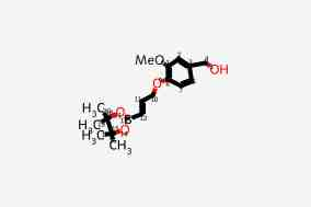 COc1cc(CO)ccc1OC/C=C/B1OC(C)(C)C(C)(C)O1